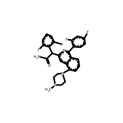 CN1CCN(c2cccc3c(-c4ccc(F)cc4F)nc(C(C(N)=O)c4c(F)cccc4F)cc23)CC1